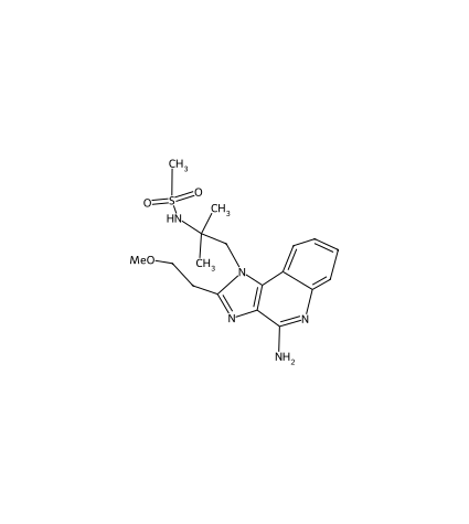 COCCc1nc2c(N)nc3ccccc3c2n1CC(C)(C)NS(C)(=O)=O